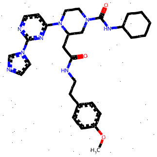 COc1ccc(CCNC(=O)CC2CN(C(=O)NC3CCCCC3)CCN2c2ccnc(-n3ccnc3)n2)cc1